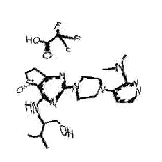 CC(C)[C@H](CO)Nc1nc(N2CCN(c3ccnnc3N(C)C)CC2)nc2c1[S+]([O-])CC2.O=C(O)C(F)(F)F